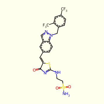 NS(=O)(=O)CCNC1=NC(=O)/C(=C/c2ccc3c(cnn3Cc3ccc(C(F)(F)F)cc3C(F)(F)F)c2)S1